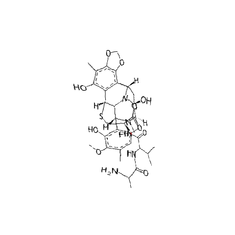 COc1c(C)cc2c(c1O)[C@@H]1C3[C@@H]4SC[C@H](NC(=O)C(NC(=O)C(C)N)C(C)C)C(=O)OC[C@@H](c5c6c(c(C)c(O)c54)OCO6)N3[C@@H](O)[C@@H](C2)N1C